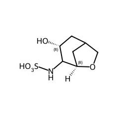 O=S(=O)(O)NC1[C@H](O)CC2CO[C@@H]1C2